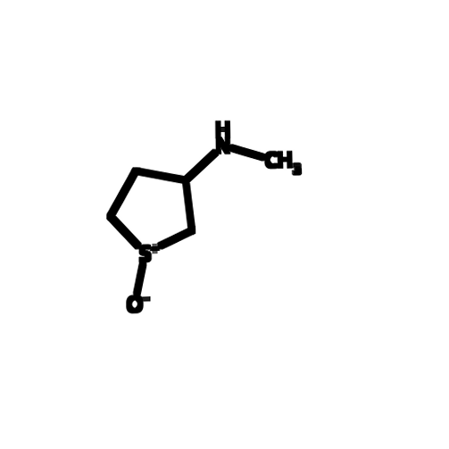 CNC1CC[S+]([O-])C1